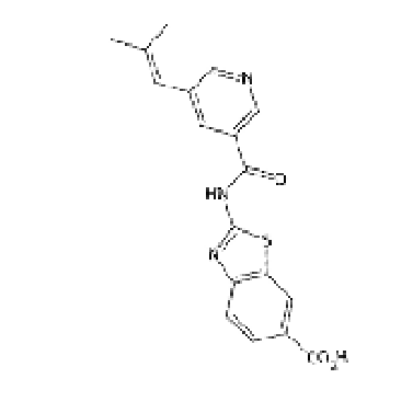 CC(C)=Cc1cncc(C(=O)Nc2nc3ccc(C(=O)O)cc3s2)c1